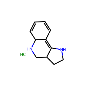 C1=CC2=C3NCCC3CNC2C=C1.Cl